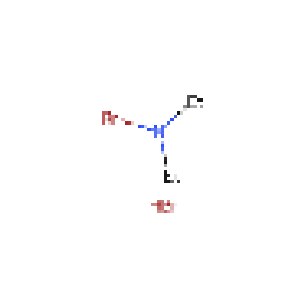 Br.CCN(Br)CC